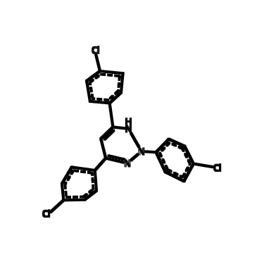 Clc1ccc(C2=CC(c3ccc(Cl)cc3)=NN(c3ccc(Cl)cc3)N2)cc1